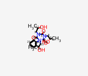 CC(O)CN1C(=O)N(CC(C)O)C(=O)[N+](CC(C)O)(c2ccccc2)C1=O